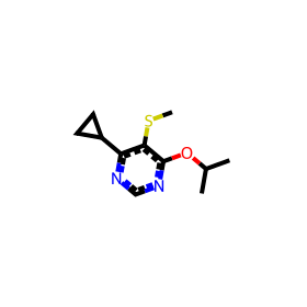 CSc1c(OC(C)C)ncnc1C1CC1